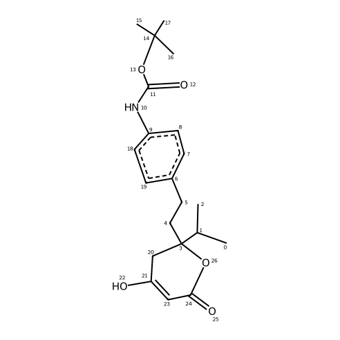 CC(C)C1(CCc2ccc(NC(=O)OC(C)(C)C)cc2)CC(O)=CC(=O)O1